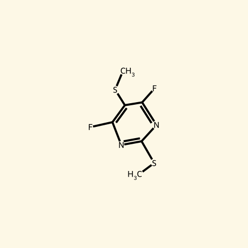 CSc1nc(F)c(SC)c(F)n1